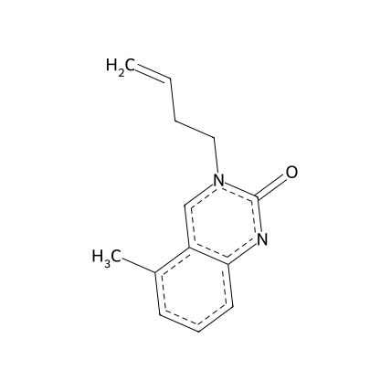 C=CCCn1cc2c(C)cccc2nc1=O